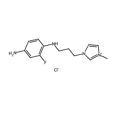 C[n+]1ccn(CCCNc2ccc(N)cc2F)c1.[Cl-]